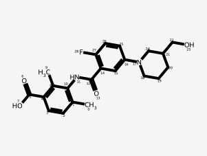 Cc1ccc(C(=O)O)c(C)c1NC(=O)c1cc(N2CCCC(CO)C2)ccc1F